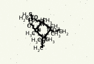 C=CCOC(=O)CCC1=C(C)c2cc3[nH]c(cc4nc(cc5[nH]c(cc1n2)c(CCC(=O)OCC=C)c5C)C(C)=C4C(C)OCC=C)c(C)c3C(C)OCC=C